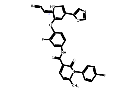 Cc1ccc(C(=O)Nc2ccc(OC3=CC(c4cnco4)=CN/C3=C\C=N)c(F)c2)c(=O)n1-c1ccc(F)cc1